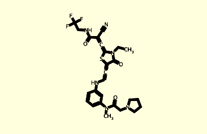 CCn1c(=C=C(C#N)C(=O)NCC(F)(F)F)sc(=C=CNc2cccc(N(C)C(=O)CN3CCCC3)c2)c1=O